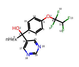 CCCCCCC(O)(c1ccc(OC(F)(F)C(F)F)cc1)c1cncnc1